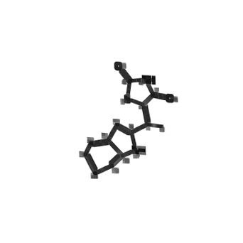 CC(=C1SC(=O)NC1=O)c1cc2ccccc2[nH]1